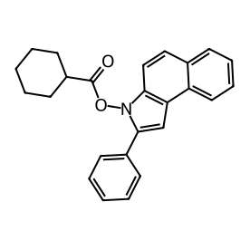 O=C(On1c(-c2ccccc2)cc2c3ccccc3ccc21)C1CCCCC1